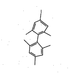 Cc1cc(C)c(-c2c(C)cc(I)cc2C)c(C)c1